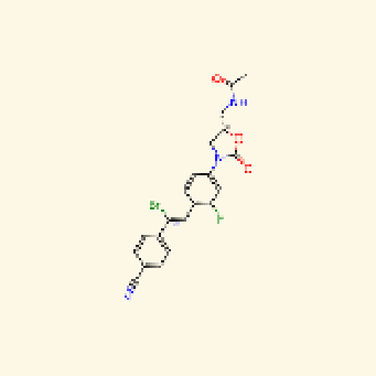 CC(=O)NC[C@H]1CN(c2ccc(/C=C(\Br)c3ccc(C#N)cc3)c(F)c2)C(=O)O1